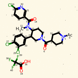 CC(=O)N1CCC(C(=O)N2CCC(N(C)C(=O)c3ccc(Cl)nc3)C(c3ccc(Cl)c(Cl)c3)C2)CC1.O=C(O)C(F)(F)F